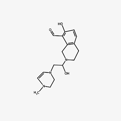 CN1C=CN(CC(O)N2CCc3ccc(O)c(C=O)c3C2)CC1